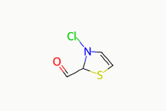 O=CC1SC=CN1Cl